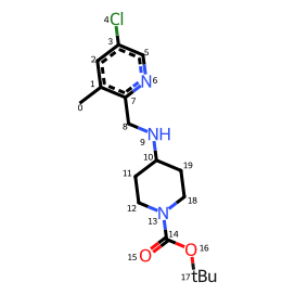 Cc1cc(Cl)cnc1CNC1CCN(C(=O)OC(C)(C)C)CC1